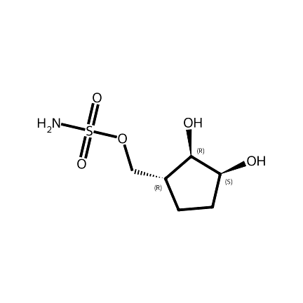 NS(=O)(=O)OC[C@H]1CC[C@H](O)[C@@H]1O